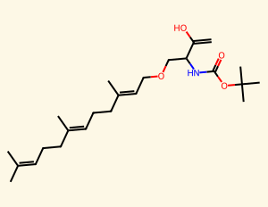 C=C(O)C(COC/C=C(\C)CC/C=C(\C)CCC=C(C)C)NC(=O)OC(C)(C)C